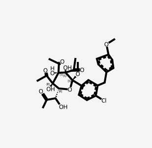 COc1ccc(Cc2cc([C@]3(OC)O[C@H](C(O)C(C)=O)[C@](O)(C(C)=O)[C@@](O)(C(C)=O)[C@]3(O)C(C)=O)ccc2Cl)cc1